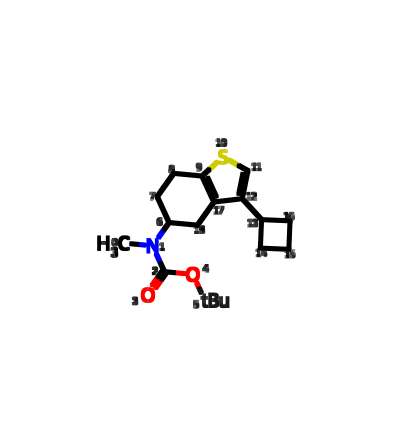 CN(C(=O)OC(C)(C)C)C1CCc2scc(C3CCC3)c2C1